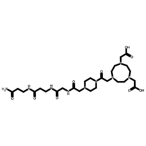 NC(=O)CCNC(=O)CCNC(=O)CNC(=O)CN1CCN(C(=O)CN2CCN(CC(=O)O)CCN(CC(=O)O)CC2)CC1